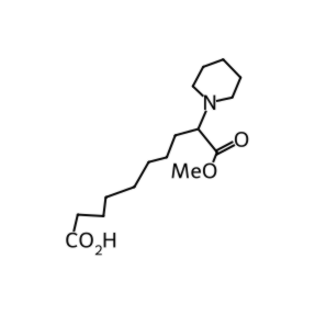 COC(=O)C(CCCCCCCC(=O)O)N1CCCCC1